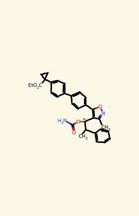 CCOC(=O)C1(c2ccc(-c3ccc(-c4onc(C)c4[C@H](OC(N)=O)C(C)c4ccccc4)cc3)cc2)CC1